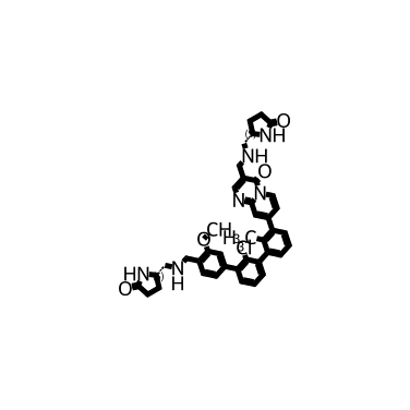 COc1cc(-c2cccc(-c3cccc(-c4ccn5c(=O)c(CNC[C@@H]6CCC(=O)N6)cnc5c4)c3C)c2Cl)ccc1CNC[C@@H]1CCC(=O)N1